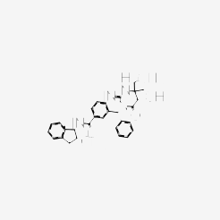 CCC1(CC)CC(=O)N([C@H](c2ccccc2)c2cccc(C(=O)N[C@@H]3c4ccccc4C[C@H]3C)c2)C(=N)N1